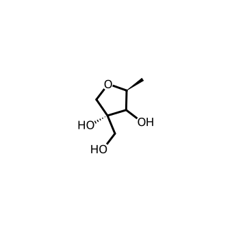 C[C@@H]1OC[C@](O)(CO)C1O